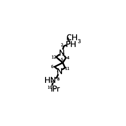 CPCN1CC2(CN(CNC(C)C)C2)C1